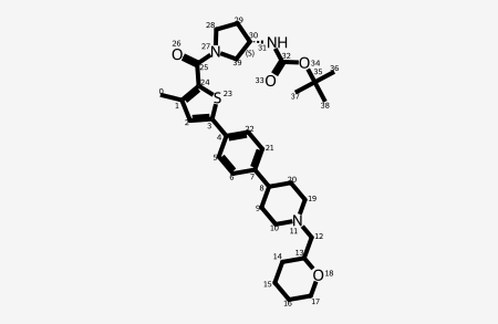 Cc1cc(-c2ccc(C3CCN(CC4CCCCO4)CC3)cc2)sc1C(=O)N1CC[C@H](NC(=O)OC(C)(C)C)C1